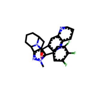 Cn1nc2c(c1-c1cc(F)c(F)c(F)c1)CC1CCCC2N1C(=O)c1cnc2cccnc2c1